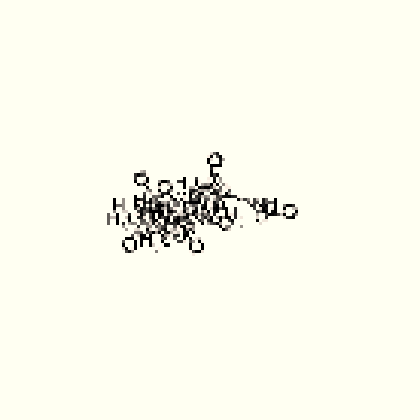 COC(=O)C1O[C@@H](O[C@@H]2C(COCc3ccccc3)O[C@@H](O[C@@H]3C(COC(C)=O)O[C@H](OCCCCCNC(=O)OCc4ccccc4)C(OCc4ccccc4)[C@H]3C)C(OC(=O)c3ccccc3)[C@H]2C)C(OC(=O)c2ccccc2)[C@@H](C)[C@@H]1O[C@H]1OC(COCc2ccccc2)[C@H](C)[C@H](C)C1OCc1ccccc1